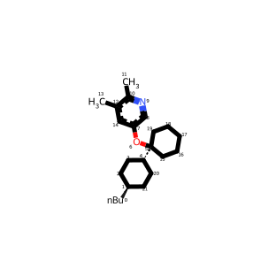 CCCC[C@H]1CC[C@H](C2(Oc3cnc(C)c(C)c3)CCCCC2)CC1